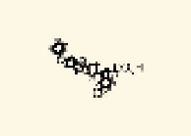 O=C(O)Cn1cc(C2CCN(S(=O)(=O)c3ccc(Oc4ccccc4)cc3)CC2)c2cc(Cl)ccc21